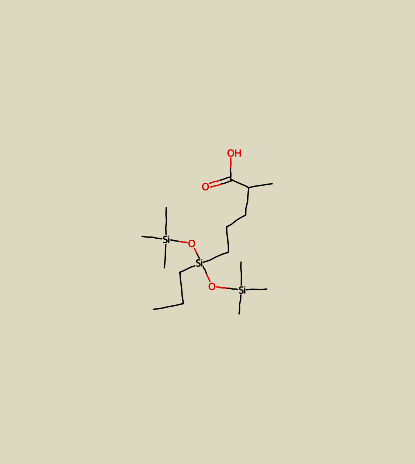 CCC[Si](CCCC(C)C(=O)O)(O[Si](C)(C)C)O[Si](C)(C)C